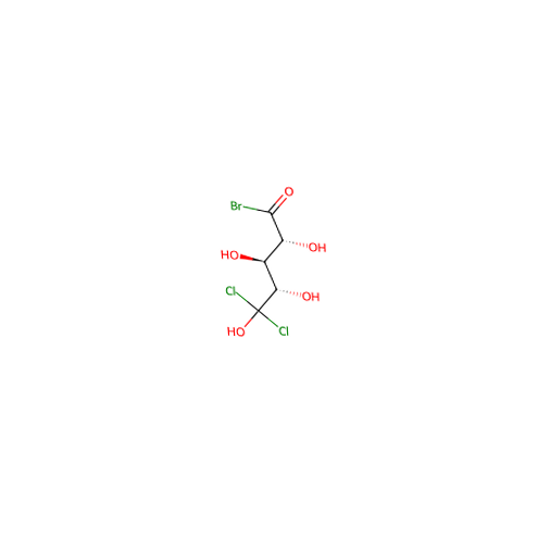 O=C(Br)[C@H](O)[C@H](O)[C@H](O)C(O)(Cl)Cl